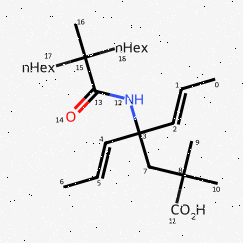 CC=CC(C=CC)(CC(C)(C)C(=O)O)NC(=O)C(C)(CCCCCC)CCCCCC